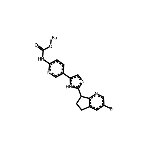 CC(C)(C)OC(=O)Nc1ccc(-c2cnc(C3CCc4cc(Br)cnc43)[nH]2)cn1